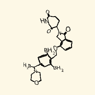 Bc1cc(C(B)N2CCOCC2)cc(B)c1COc1cccc2c1CN(C1CCC(=O)NC1=O)C2=O